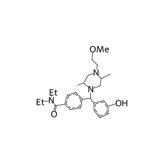 CCN(CC)C(=O)c1ccc(C(c2cccc(O)c2)N2CC(C)N(CCOC)CC2C)cc1